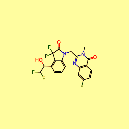 Cn1c(CN2C(=O)C(F)(F)c3c(C(O)C(F)F)cccc32)nc2cc(F)ccc2c1=O